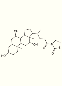 CC(CCC(=O)N1CCSC1=O)C1CCC2C3C(O)CC4CC(O)CCC4(C)C3CC(O)C12C